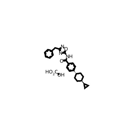 O=C(Nc1nc(Cc2ccccc2)no1)c1ccc([C@H]2CC[C@H](C3CC3)CC2)cc1.O=C(O)O